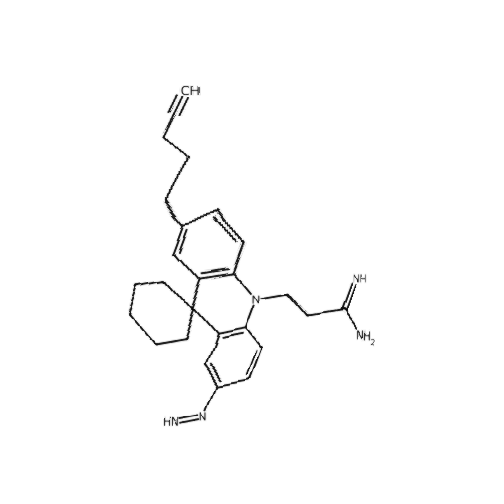 C#CCCCc1ccc2c(c1)C1(CCCCC1)c1cc(N=N)ccc1N2CCC(=N)N